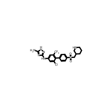 Nc1nc(Nc2cc(Cl)c(-c3ccc(S(=O)(=O)CC4CCCNC4)cc3)c(C(F)(F)F)c2)n[nH]1